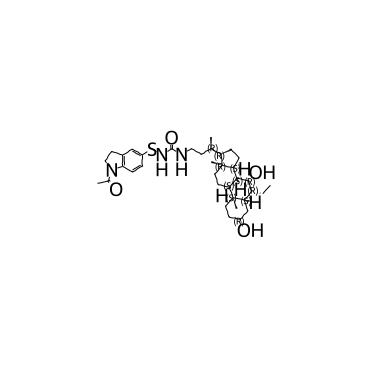 CC[C@H]1[C@@H](O)[C@@H]2[C@H](CC[C@]3(C)[C@@H]([C@H](C)CCNC(=O)NSc4ccc5c(c4)CCN5C(C)=O)CC[C@@H]23)[C@@]2(C)CC[C@@H](O)C[C@@H]12